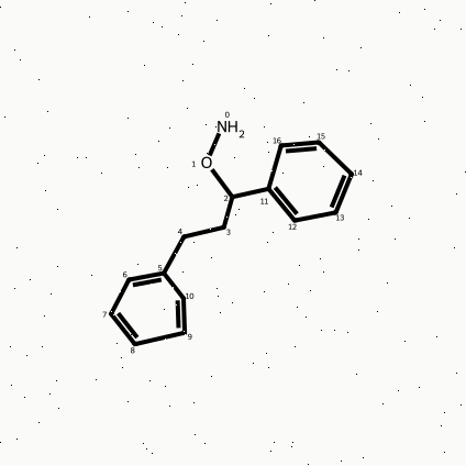 NOC(CCc1ccccc1)c1ccccc1